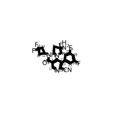 C[C@]1(N)CCN(c2c(C(=O)NC3CC(F)(F)C3)cnc(C#N)c2-c2cc(F)cc(F)c2)C1